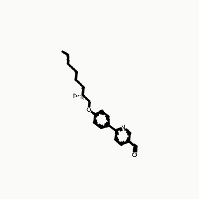 CCCCCC[C@@H](F)COc1ccc(-c2ccc(C=O)cn2)cc1